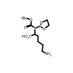 CC(C)(C)OC(=O)N(C(CCCCN)C(=O)O)N1OCCO1